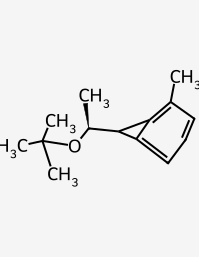 Cc1cccc2c1C2[C@H](C)OC(C)(C)C